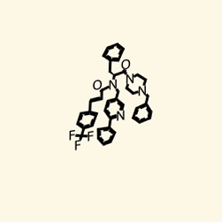 O=C([C@H](Cc1ccccc1)N(Cc1ccc(-c2ccccc2)nc1)C(=O)C=Cc1ccc(C(F)(F)F)cc1)N1CCN(Cc2ccccc2)CC1